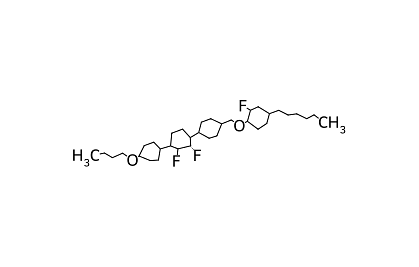 CCCCCCC1CCC(OCC2CCC(C3CCC(C4CCC(OCCCC)CC4)C(F)[C@H]3F)CC2)C(F)C1